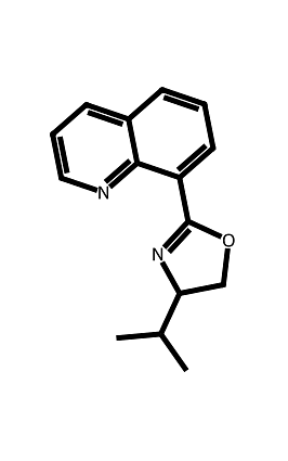 CC(C)C1COC(c2cccc3cccnc23)=N1